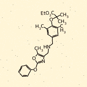 CCOC(=O)C(C)(C)Oc1c(C)cc(CNCc2nc(Oc3ccccc3)oc2C)cc1C